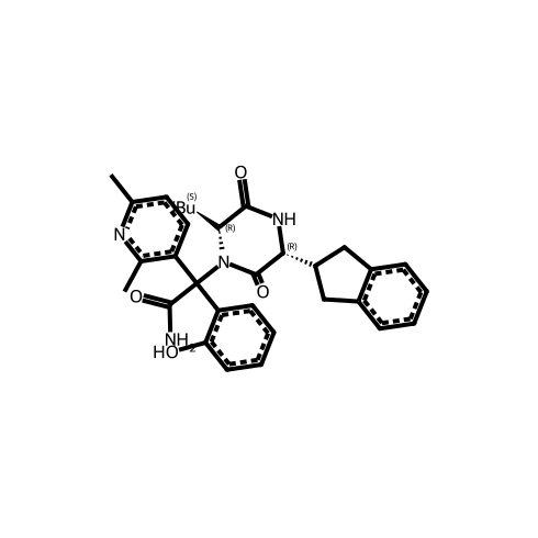 CC[C@H](C)[C@@H]1C(=O)N[C@H](C2Cc3ccccc3C2)C(=O)N1C(C(N)=O)(c1ccccc1O)c1ccc(C)nc1C